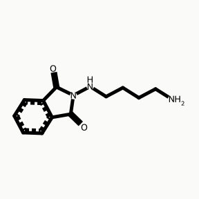 NCCCCNN1C(=O)c2ccccc2C1=O